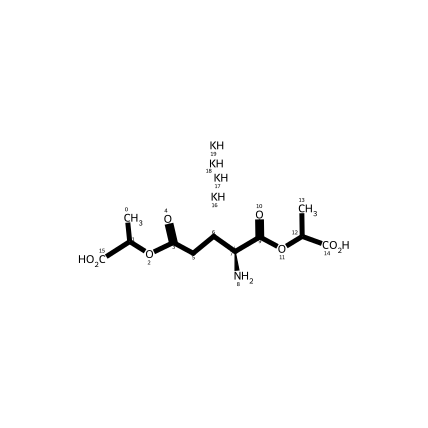 CC(OC(=O)CC[C@H](N)C(=O)OC(C)C(=O)O)C(=O)O.[KH].[KH].[KH].[KH]